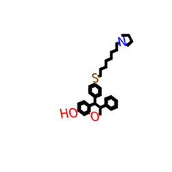 Oc1ccc2c(c1)OCC(c1ccccc1)C2c1ccc(SCCCCCCCCN2CCCC2)cc1